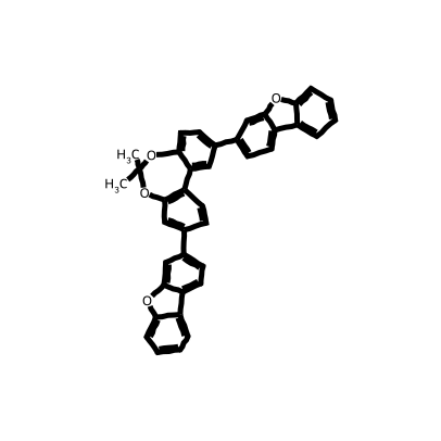 CC1(C)Oc2cc(-c3ccc4c(c3)oc3ccccc34)ccc2-c2cc(-c3ccc4c(c3)oc3ccccc34)ccc2O1